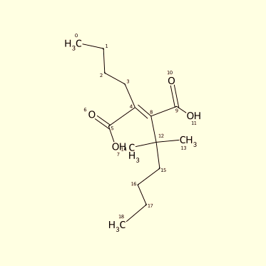 CCCCC(C(=O)O)=C(C(=O)O)C(C)(C)CCCC